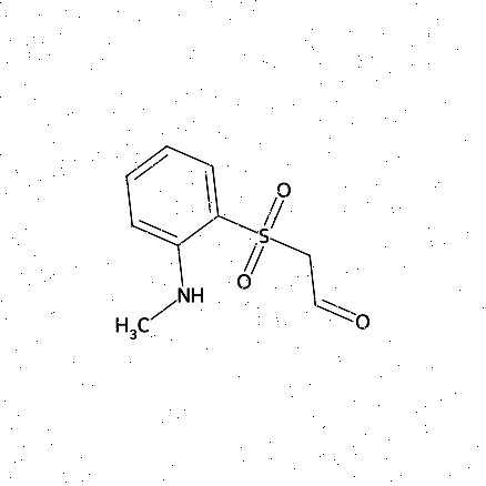 CNc1ccccc1S(=O)(=O)CC=O